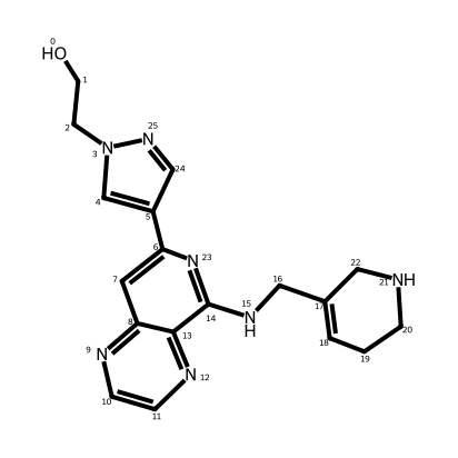 OCCn1cc(-c2cc3nccnc3c(NCC3=CCCNC3)n2)cn1